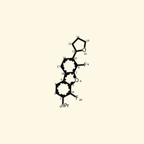 CCCc1ccc2c(oc3c(F)c(C4CCCO4)ccc32)c1F